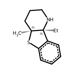 CC[C@@]12NCCC[C@]1(C)Sc1ccccc12